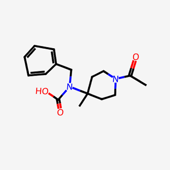 CC(=O)N1CCC(C)(N(Cc2ccccc2)C(=O)O)CC1